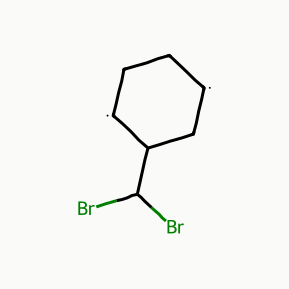 BrC(Br)C1[CH]CC[CH]C1